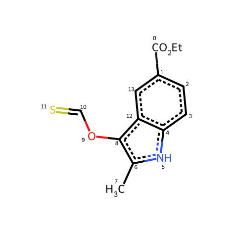 CCOC(=O)c1ccc2[nH]c(C)c(OC=S)c2c1